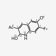 CC(=O)C1=Cc2cc(Cl)c(F)cc2NC1O